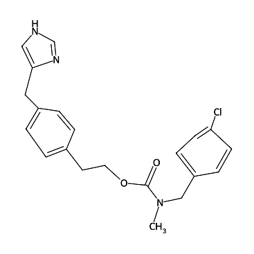 CN(Cc1ccc(Cl)cc1)C(=O)OCCc1ccc(Cc2c[nH]cn2)cc1